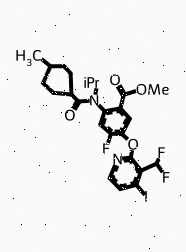 COC(=O)c1cc(Oc2nccc(I)c2C(F)F)c(F)cc1N(C(=O)C1CCC(C)CC1)C(C)C